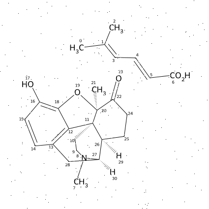 CC(C)=CC=CC(=O)O.CN1CC[C@]23c4c5ccc(O)c4O[C@@]2(C)C(=O)CC[C@H]3[C@H]1C5